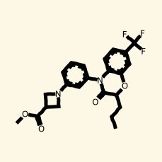 CCCC1Oc2cc(C(F)(F)F)ccc2N(c2cccc(N3CC(C(=O)OC)C3)c2)C1=O